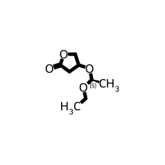 CCO[C@H](C)OC1COC(=O)C1